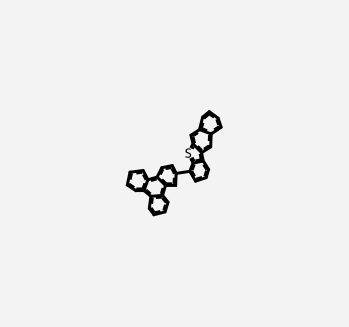 c1ccc2cc3c(cc2c1)sc1c(-c2ccc4c5ccccc5c5ccccc5c4c2)cccc13